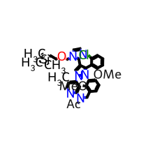 COc1ccc(CN(C(C)=O)c2cc(-n3cc(-c4nccn4COCC[Si](C)(C)C)c(-c4ccccc4Cl)n3)c(C)cn2)c(OC)c1